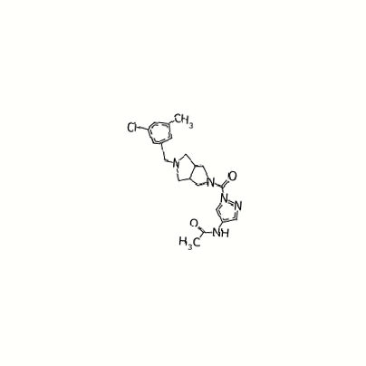 CC(=O)Nc1cnn(C(=O)N2CC3CN(Cc4cc(C)cc(Cl)c4)CC3C2)c1